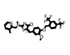 COc1cc(/C=C2/SC(N(C)Cc3ncccc3C)=NC2=O)ccc1OCc1ccc(C(F)(F)F)cc1C(F)(F)F